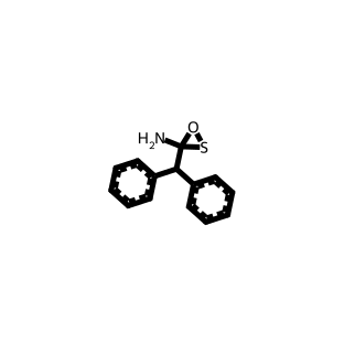 NC1(C(c2ccccc2)c2ccccc2)OS1